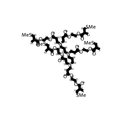 CSCC(C)C(=O)OCCOC(=O)CCN(CCCN(CCC(=O)OCCOC(=O)C(C)CSC)CCC(=O)OCCOC(=O)C(C)CSC)CCCN(CCC(=O)OCCOC(=O)C(C)CSC)CCC(=O)OCCOC(=O)C(C)CSC